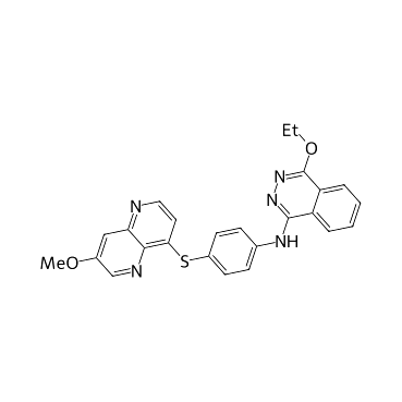 CCOc1nnc(Nc2ccc(Sc3ccnc4cc(OC)cnc34)cc2)c2ccccc12